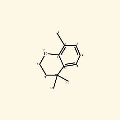 Cc1cccc2c1OCCC2(C)C